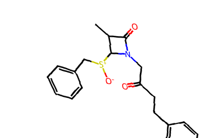 CC1C(=O)N(CC(=O)CCc2ccccc2)C1[S+]([O-])Cc1ccccc1